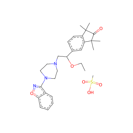 CCOC(CN1CCN(c2noc3ccccc23)CC1)c1ccc2c(c1)C(C)(C)C(=O)C2(C)C.CS(=O)(=O)O